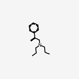 C=C(CN(CCC)CCC)c1ccccc1